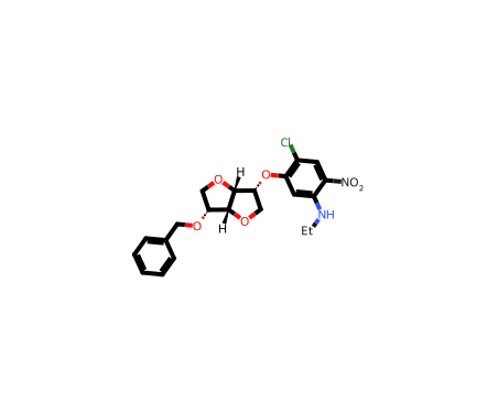 CCNc1cc(O[C@@H]2CO[C@H]3[C@@H]2OC[C@H]3OCc2ccccc2)c(Cl)cc1[N+](=O)[O-]